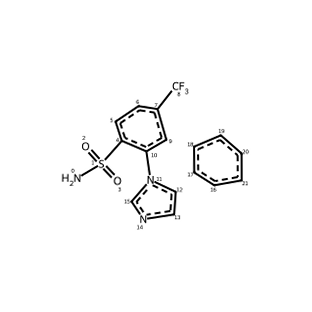 NS(=O)(=O)c1ccc(C(F)(F)F)cc1-n1ccnc1.c1ccccc1